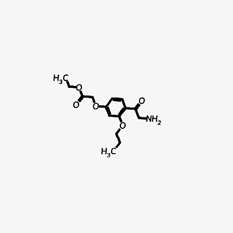 CCCOc1cc(OCC(=O)OCC)ccc1C(=O)CN